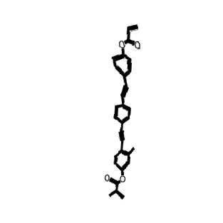 C=CC(=O)Oc1ccc(C#Cc2ccc(C#Cc3ccc(OC(=O)C(=C)C)cc3C)cc2)cc1